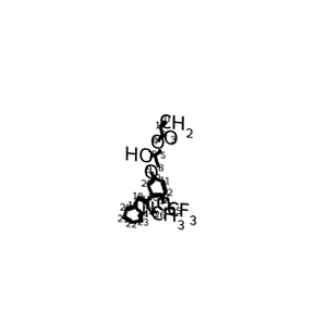 C=CC(=O)OCC(O)COc1ccc(OC(F)(F)F)c(-c2cc3ccccc3n2C)c1